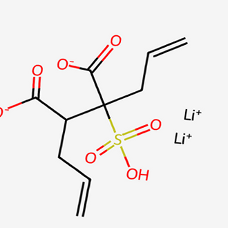 C=CCC(C(=O)[O-])C(CC=C)(C(=O)[O-])S(=O)(=O)O.[Li+].[Li+]